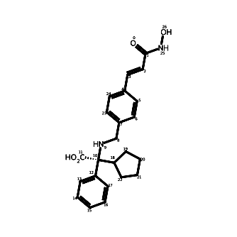 O=C(/C=C/c1ccc(CN[C@](C(=O)O)(c2ccccc2)C2CCCC2)cc1)NO